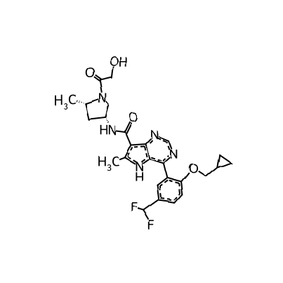 Cc1[nH]c2c(-c3cc(C(F)F)ccc3OCC3CC3)ncnc2c1C(=O)N[C@@H]1C[C@H](C)N(C(=O)CO)C1